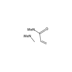 C=CC(=O)NC.CNC